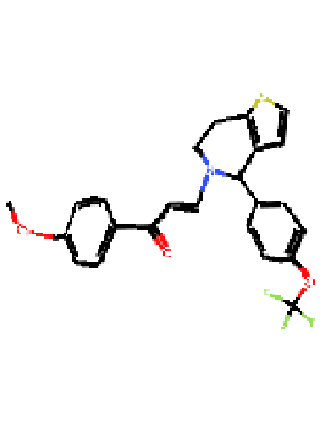 COc1ccc(C(=O)C=CN2CCc3sccc3C2c2ccc(OC(F)(F)F)cc2)cc1